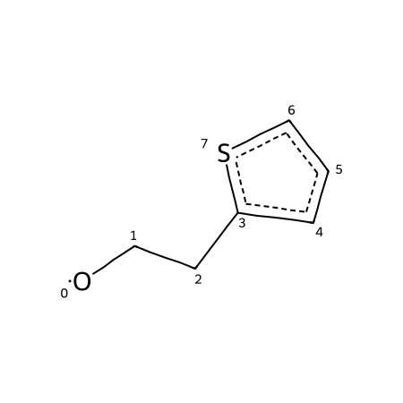 [O]CCc1cccs1